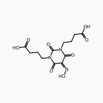 O=C(O)CCCN1C(=O)C(=NO)C(=O)N(CCCC(=O)O)C1=O